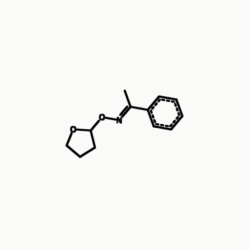 CC(=NOC1CCCO1)c1ccccc1